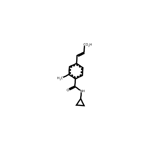 Cc1cc(C=CC(=O)O)ccc1C(=O)NC1CC1